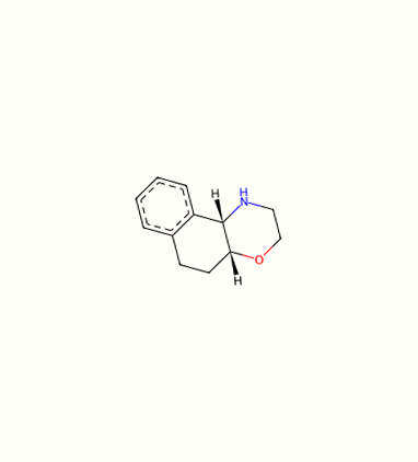 c1ccc2c(c1)CC[C@H]1OCCN[C@@H]21